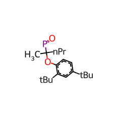 CCCC(C)(Oc1ccc(C(C)(C)C)cc1C(C)(C)C)P=O